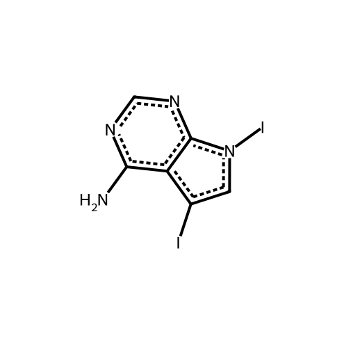 Nc1ncnc2c1c(I)cn2I